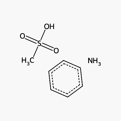 CS(=O)(=O)O.N.c1ccccc1